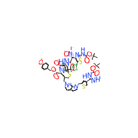 CO/N=C(\C(=O)N[C@@H]1C(=O)N2C(C(=O)OCc3ccc(OC)cc3)=C(C[n+]3ccc4ccn(Cc5cc(C(=N)NC(=O)OC(C)(C)C)cs5)c4c3)CS[C@H]12)c1nc(NC(=O)OC(C)(C)C)sc1Cl.[I-]